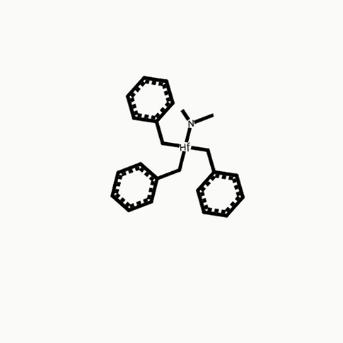 C[N](C)[Hf]([CH2]c1ccccc1)([CH2]c1ccccc1)[CH2]c1ccccc1